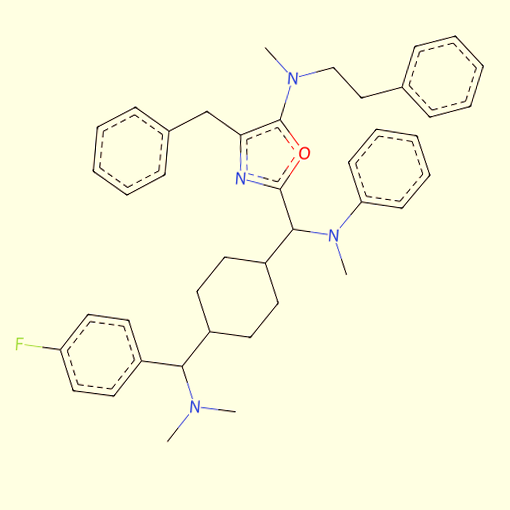 CN(CCc1ccccc1)c1oc(C(C2CCC(C(c3ccc(F)cc3)N(C)C)CC2)N(C)c2ccccc2)nc1Cc1ccccc1